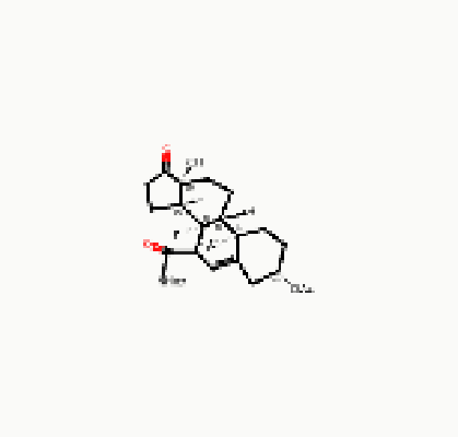 CCCCCCC(=O)C1C=C2C[C@@H](OC(C)=O)CC[C@]2(C)[C@H]2CC[C@]3(C)C(=O)CC[C@H]3[C@H]12